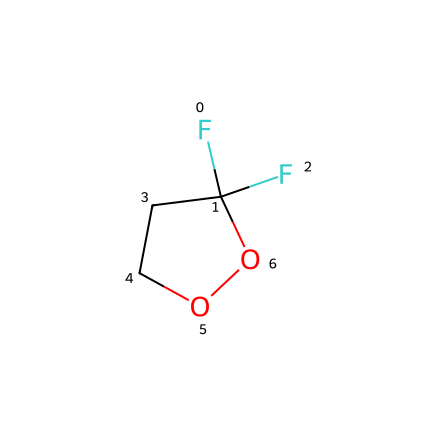 FC1(F)CCOO1